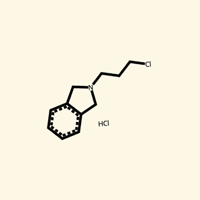 Cl.ClCCCN1Cc2ccccc2C1